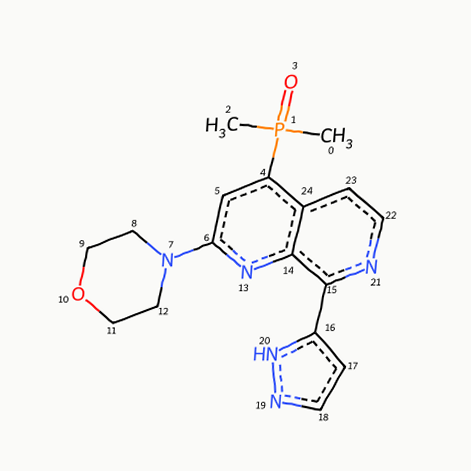 CP(C)(=O)c1cc(N2CCOCC2)nc2c(-c3ccn[nH]3)nccc12